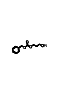 O=C(OCCCO)OCc1ccccc1